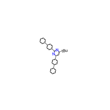 CC(C)(C)c1cc(-c2ccc(-c3ccccc3)cc2)nc(-c2ccc(-c3ccccc3)cc2)n1